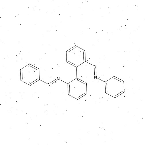 c1ccc(N=Nc2ccccc2-c2ccccc2N=Nc2ccccc2)cc1